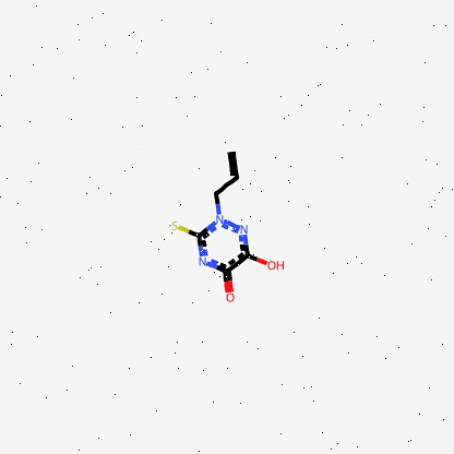 C=CCn1nc(O)c(=O)nc1[S]